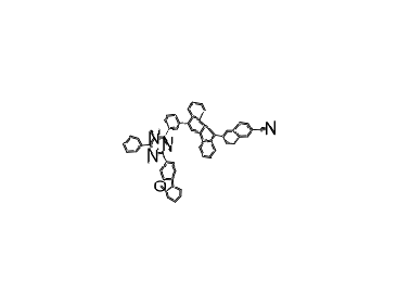 N#Cc1ccc2cc(-c3cc4c5ccccc5c(-c5cccc(-c6nc(-c7ccccc7)nc(-c7ccc8c(c7)oc7ccccc78)n6)c5)cc4c4ccccc34)ccc2c1